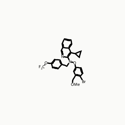 COCc1cc(ON(Cc2ccc(OC(F)(F)F)cc2)c2ncc3ccccc3c2C2CC2)ccc1Br